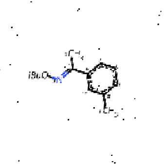 CC(=NOCC(C)C)c1cc[c]c(C)c1